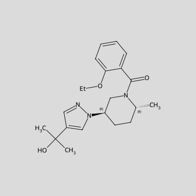 CCOc1ccccc1C(=O)N1C[C@H](n2cc(C(C)(C)O)cn2)CC[C@H]1C